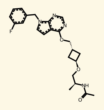 CC(=O)N[C@@H](C)CO[C@H]1C[C@H](COc2ncnc3c2ccn3Cc2cccc(F)c2)C1